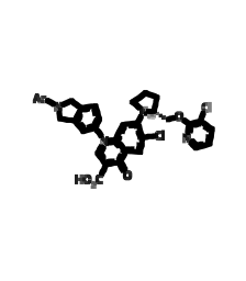 CC(=O)N1Cc2ccc(-n3cc(C(=O)O)c(=O)c4cc(Cl)c(N5CCC[C@@H]5COc5ncccc5Cl)cc43)cc2C1